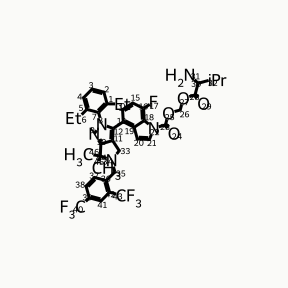 CCc1cccc(CC)c1-n1nc2c(c1-c1ccc(F)c3c1ccn3C(=O)OCOC(=O)C(N)C(C)C)CN(Cc1ccc(C(F)(F)F)cc1C(F)(F)F)C2(C)C